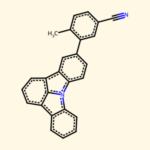 Cc1ccc(C#N)cc1-c1ccc2c(c1)c1cccc3c4ccccc4n2c31